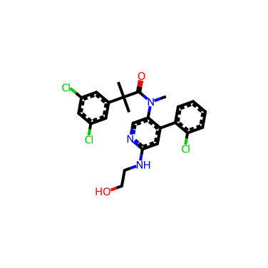 CN(C(=O)C(C)(C)c1cc(Cl)cc(Cl)c1)c1cnc(NCCO)cc1-c1ccccc1Cl